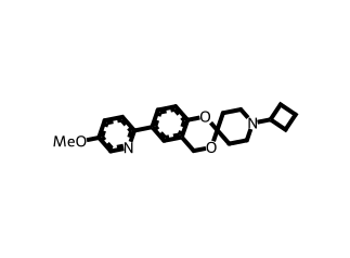 COc1ccc(-c2ccc3c(c2)COC2(CCN(C4CCC4)CC2)O3)nc1